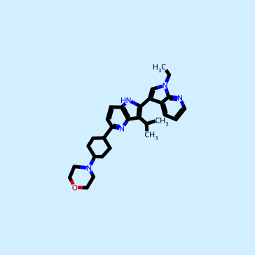 CCn1cc(-c2[nH]c3ccc(C4CCC(N5CCOCC5)CC4)nc3c2C(C)C)c2cccnc21